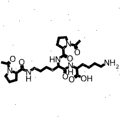 CC(=O)N1CCCC1C(=O)NCCCCC(NC(=O)C1CCCN1C(C)=O)C(=O)NC(CCCCN)C(=O)O